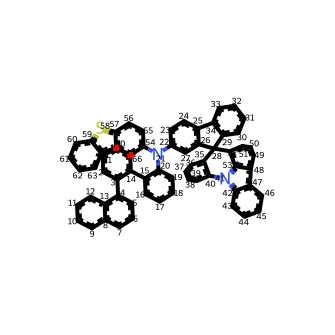 c1ccc(-c2cccc3ccccc23)c(-c2ccccc2N(c2ccc3c(c2)C2(c4ccccc4-3)c3ccccc3-n3c4ccccc4c4cccc2c43)c2ccc3sc4ccccc4c3c2)c1